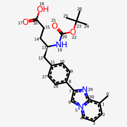 Cc1cccn2cc(-c3ccc(C[C@@H](CCC(=O)O)NC(=O)OC(C)(C)C)cc3)nc12